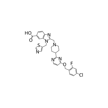 O=C(O)c1ccc2nc(CN3CCC(c4nccc(OCc5ccc(Cl)cc5F)n4)CC3)n(Cc3cncs3)c2c1